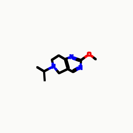 COc1ncc2c(n1)CCN(C(C)C)C2